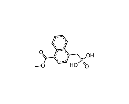 COC(=O)c1ccc(CP(=O)(O)O)c2ccccc12